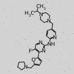 CC(C)N1CCN(Cc2ccc(Nc3ncc(F)c(-c4ccc(CN5CCCC5)o4)n3)nc2)CC1